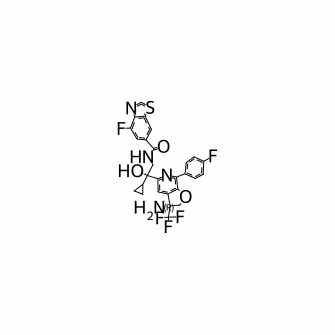 N[C@@]1(C(F)(F)F)COc2c1cc(C(O)(CNC(=O)c1cc(F)c3ncsc3c1)C1CC1)nc2-c1ccc(F)cc1